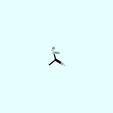 COC(C)=O.[Al]